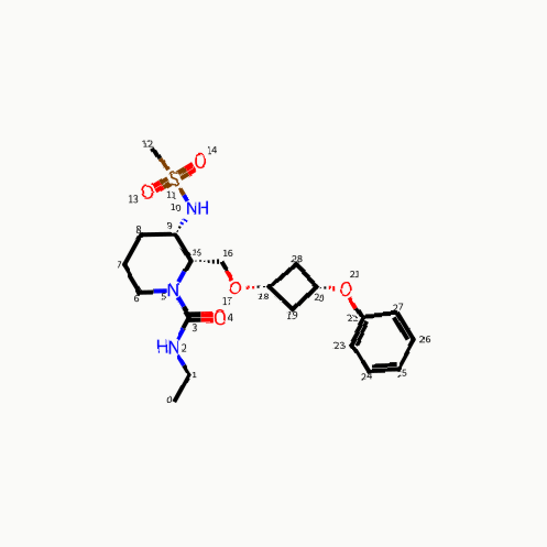 CCNC(=O)N1CCC[C@H](NS(C)(=O)=O)[C@@H]1CO[C@H]1C[C@@H](Oc2ccccc2)C1